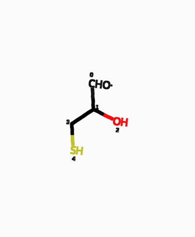 O=[C]C(O)CS